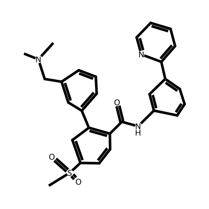 CN(C)Cc1cccc(-c2cc(S(C)(=O)=O)ccc2C(=O)Nc2cccc(-c3ccccn3)c2)c1